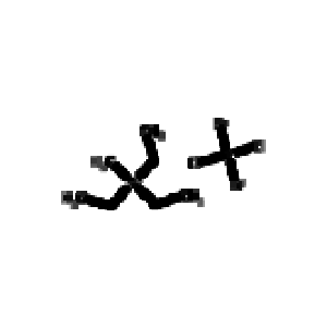 CC[N+](C)(CC)CC.Cl[B-](Cl)(Br)Br